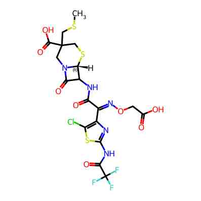 CSCC1(C(=O)O)CS[C@@H]2C(NC(=O)C(=NOCC(=O)O)c3nc(NC(=O)C(F)(F)F)sc3Cl)C(=O)N2C1